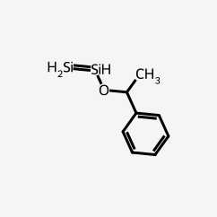 CC(O[SiH]=[SiH2])c1ccccc1